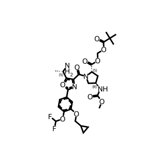 COC(=O)N[C@@H]1C[C@@H](C(=O)OCOC(=O)C(C)(C)C)N(C(=O)c2nc(-c3ccc(OC(F)F)c(OCC4CC4)c3)oc2[C@H](C)N)C1